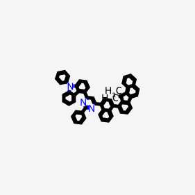 CC1(C)c2c(cccc2-c2ccc(-c3cc(-c4cccc5c4c4ccccc4n5-c4ccccc4)nc(-c4ccccc4)n3)c3ccccc23)-c2ccc3ccccc3c21